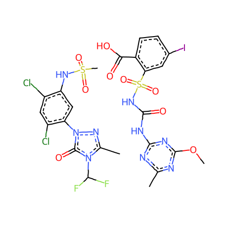 COc1nc(C)nc(NC(=O)NS(=O)(=O)c2cc(I)ccc2C(=O)O)n1.Cc1nn(-c2cc(NS(C)(=O)=O)c(Cl)cc2Cl)c(=O)n1C(F)F